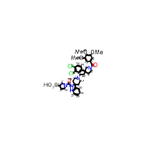 COc1cc(C(=O)N2CCC(CCN3CCC(NC(=O)N4CCC(C(=O)O)C4)(c4ccccc4)CC3)(c3ccc(Cl)c(Cl)c3)C2)cc(OC)c1OC